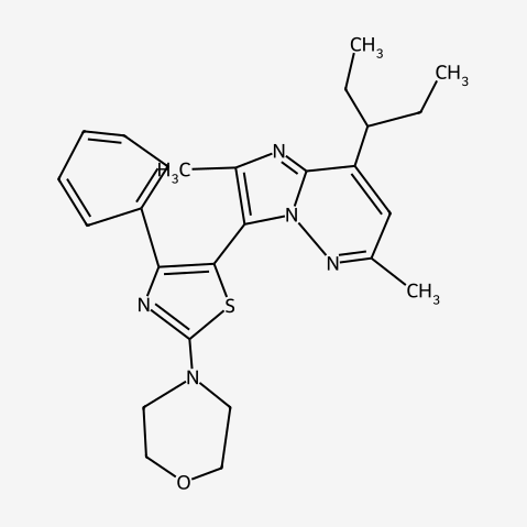 CCC(CC)c1cc(C)nn2c(-c3sc(N4CCOCC4)nc3-c3ccccc3)c(C)nc12